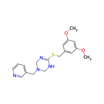 COc1cc(CSC2=NCN(Cc3cccnc3)CN2)cc(OC)c1